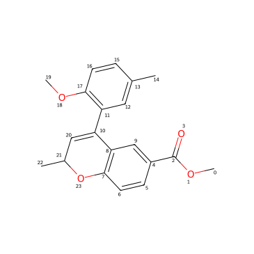 COC(=O)c1ccc2c(c1)C(c1cc(C)ccc1OC)=CC(C)O2